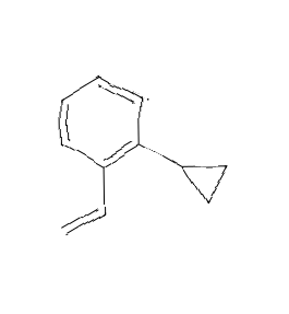 C=Cc1ccc[c]c1C1CC1